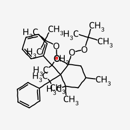 CC1CC(C)(C)C(C(C)(C)c2ccccc2)(C(C)(C)c2ccccc2)C(OOC(C)(C)C)(OOC(C)(C)C)C1